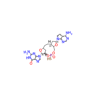 Nc1nc2c(ncn2[C@@H]2OC3CC[C@H]4C[C@H](n5ccc6c(N)ncnc65)OC4COP(=O)(S)O[C@@H]2C3)c(=O)[nH]1